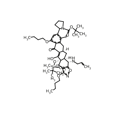 C=CCN[C@@H]1c2onc(OCCCC)c2C(=O)[C@@]2(O[Si](C)(C)C(C)(C)C)C(O)=C3C(=O)c4c(OCCCC)cc(C5CCCN5C(=O)OC(C)(C)C)c(F)c4C[C@H]3C[C@@H]12